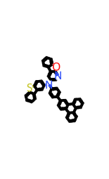 c1ccc2c(c1)oc1ncc(N(c3ccc(-c4ccc5c6ccccc6c6ccccc6c5c4)cc3)c3ccc4sc5ccccc5c4c3)cc12